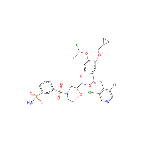 NS(=O)(=O)c1cccc(S(=O)(=O)N2CCOC(C(=O)O[C@@H](Cc3c(Cl)cncc3Cl)c3ccc(OC(F)F)c(OCC4CC4)c3)C2)c1